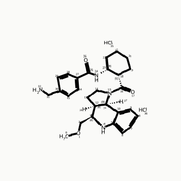 COC[C@@H]1Nc2ccccc2[C@H]2[C@@H]1CCN2C(=O)[C@H]1CCCC[C@H]1NC(=O)c1ccc(CN)cc1.Cl.Cl